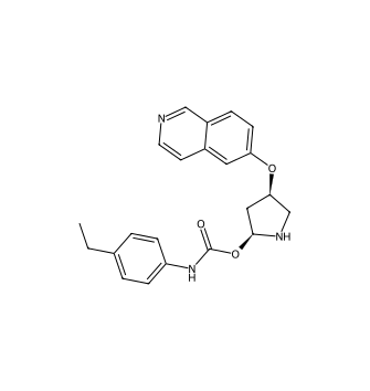 CCc1ccc(NC(=O)O[C@H]2C[C@@H](Oc3ccc4cnccc4c3)CN2)cc1